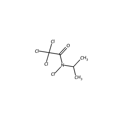 CC(C)N(Cl)C(=O)C(Cl)(Cl)Cl